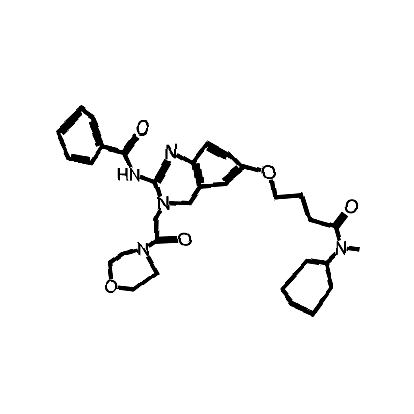 CN(C(=O)CCCOc1ccc2c(c1)CN(CC(=O)N1CCOCC1)C(NC(=O)c1ccccc1)=N2)C1CCCCC1